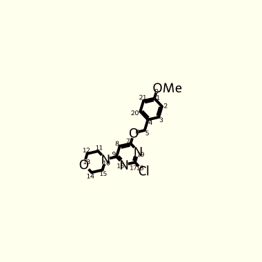 COc1ccc(COc2cc(N3CCOCC3)nc(Cl)n2)cc1